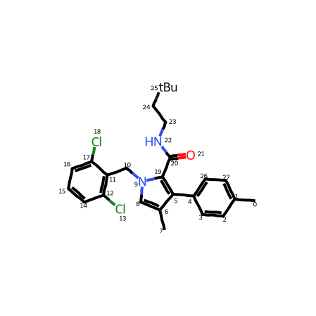 Cc1ccc(-c2c(C)cn(Cc3c(Cl)cccc3Cl)c2C(=O)NCCC(C)(C)C)cc1